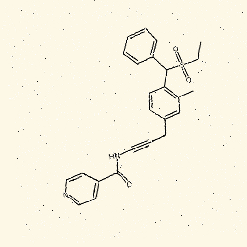 CCS(=O)(=O)C(c1ccccc1)c1ccc(CC#CNC(=O)c2ccncc2)cc1C